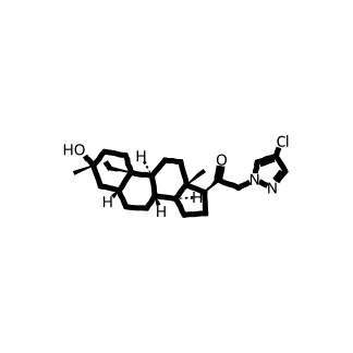 CC[C@]12CC[C@@](C)(O)C[C@H]1CC[C@H]1[C@@H]3CC[C@H](C(=O)Cn4cc(Cl)cn4)[C@@]3(C)CC[C@@H]12